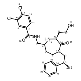 CC[C@H](CN1CC[C@@H](CNC(=O)c2ccc(Cl)c(Cl)c2)N[C@@H](CCO)C1=O)c1ccccc1